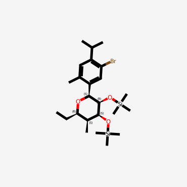 CC[C@H]1O[C@@H](c2cc(Br)c(C(C)C)cc2C)[C@@H](O[Si](C)(C)C)[C@@H](O[Si](C)(C)C)[C@H]1C